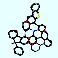 CC1(c2ccccc2)c2ccccc2-c2c(-c3ccccc3N(c3ccccc3-c3cccc4c3sc3ccccc34)c3ccccc3-c3cccc4cccc(C5CCCCC5)c34)cccc21